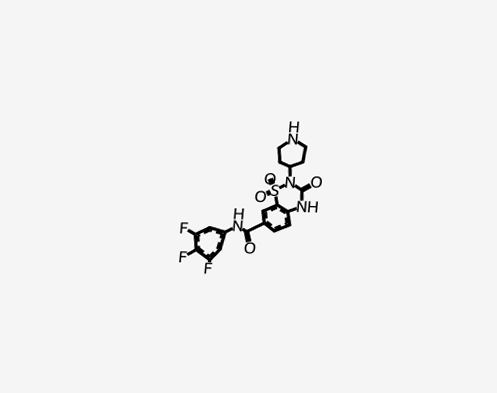 O=C(Nc1cc(F)c(F)c(F)c1)c1ccc2c(c1)S(=O)(=O)N(C1CCNCC1)C(=O)N2